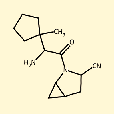 CC1(C(N)C(=O)N2C(C#N)CC3CC32)CCCC1